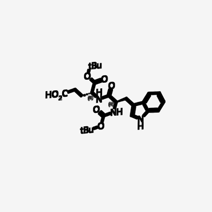 CC(C)(C)OC(=O)N[C@H](Cc1c[nH]c2ccccc12)C(=O)N[C@H](CCC(=O)O)C(=O)OC(C)(C)C